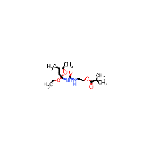 C=C(C)C(=O)OCCNC(=O)NC(CCC)(OCC)OCC